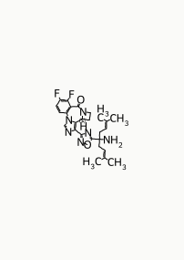 CC(C)=CCC(N)(CC=C(C)C)c1nc(-c2ncn3c2[C@@H]2CCN2C(=O)c2c-3ccc(F)c2F)no1